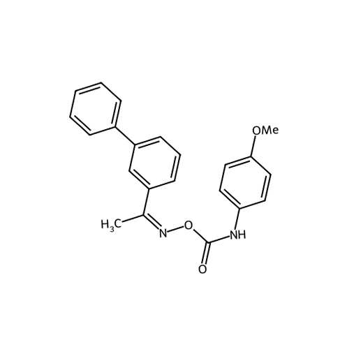 COc1ccc(NC(=O)ON=C(C)c2cccc(-c3ccccc3)c2)cc1